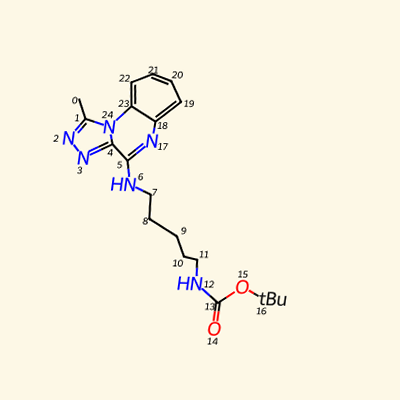 Cc1nnc2c(NCCCCCNC(=O)OC(C)(C)C)nc3ccccc3n12